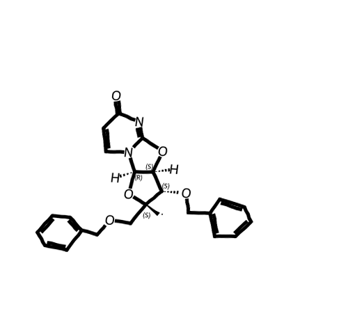 [CH2][C@@]1(COCc2ccccc2)O[C@@H]2[C@@H](Oc3nc(=O)ccn32)[C@@H]1OCc1ccccc1